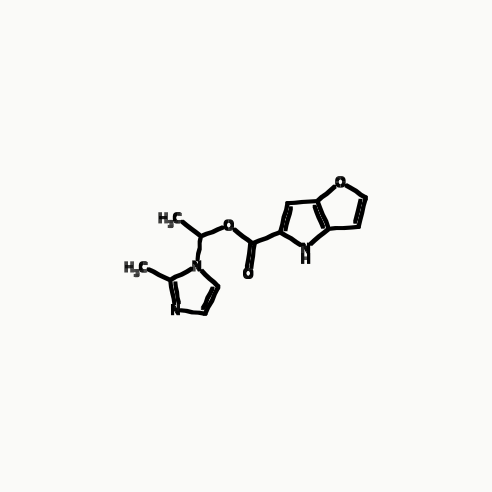 Cc1nccn1C(C)OC(=O)c1cc2occc2[nH]1